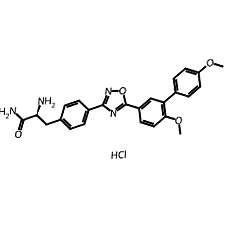 COc1ccc(-c2cc(-c3nc(-c4ccc(C[C@H](N)C(N)=O)cc4)no3)ccc2OC)cc1.Cl